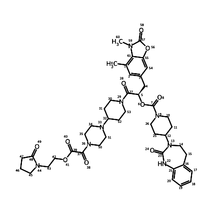 Cc1cc(C[C@@H](OC(=O)N2CCC(N3CCc4ccccc4NC3=O)CC2)C(=O)N2CCC(N3CCN(C(=O)C(=O)OCCN4CCCC4=O)CC3)CC2)cc2oc(=O)n(C)c12